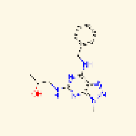 CC(O)CNc1nc(NCc2ccccc2)c2nnn(C)c2n1